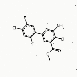 COC(=O)c1nc(-c2cc(F)c(Cl)cc2F)nc(N)c1Cl